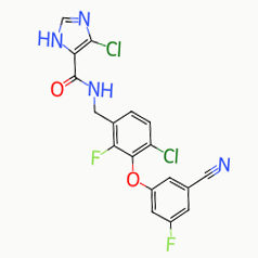 N#Cc1cc(F)cc(Oc2c(Cl)ccc(CNC(=O)c3[nH]cnc3Cl)c2F)c1